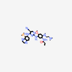 C=CC(=O)Nc1cc(Nc2ncc(C#N)c(Nc3ccc4nccnc4c3P(C)C)n2)c(OC)cc1N(C)CCN(C)C